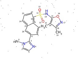 CCCn1ccnc1-c1ccc2c(S(=O)(=O)Nc3onc(C)c3C)cccc2c1